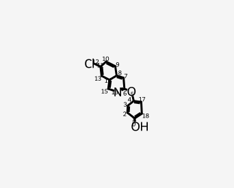 Oc1ccc(Oc2cc3ccc(Cl)cc3cn2)cc1